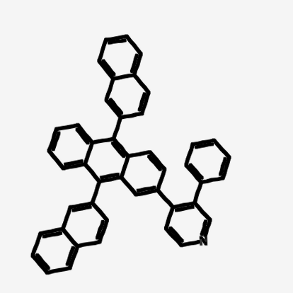 c1ccc(-c2cnccc2-c2ccc3c(-c4ccc5ccccc5c4)c4ccccc4c(-c4ccc5ccccc5c4)c3c2)cc1